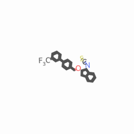 FC(F)(F)c1cccc(-c2ccc(CO[C@H]3Cc4ccccc4[C@H]3N=C=S)cc2)c1